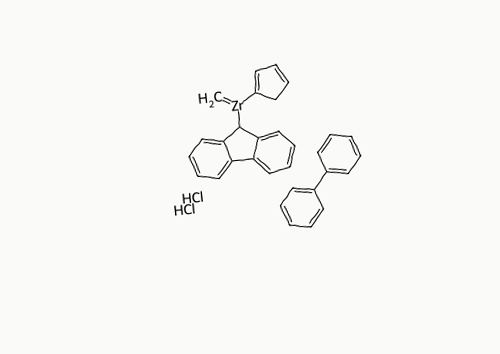 Cl.Cl.[CH2]=[Zr]([C]1=CC=CC1)[CH]1c2ccccc2-c2ccccc21.c1ccc(-c2ccccc2)cc1